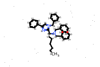 CCCCCC[C@H](c1nc(-c2ccccc2)cn1Cc1ccccc1)N(Cc1ccccc1)Cc1ccccc1